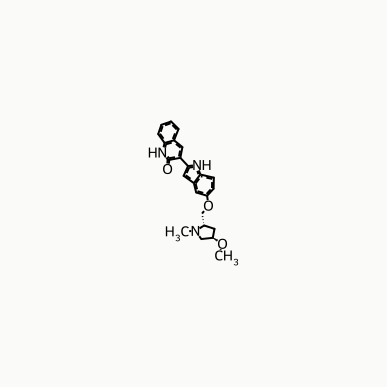 CO[C@@H]1C[C@@H](COc2ccc3[nH]c(-c4cc5ccccc5[nH]c4=O)cc3c2)N(C)C1